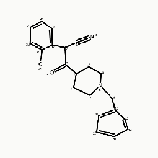 N#CC(C(=O)C1CCN(Cc2ccccc2)CC1)c1ccccc1Cl